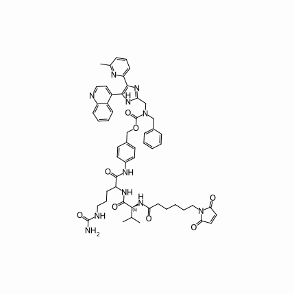 Cc1cccc(-c2nc(CN(Cc3ccccc3)C(=O)OCc3ccc(NC(=O)C(CCCNC(N)=O)NC(=O)[C@@H](NC(=O)CCCCCN4C(=O)C=CC4=O)C(C)C)cc3)[nH]c2-c2ccnc3ccccc23)n1